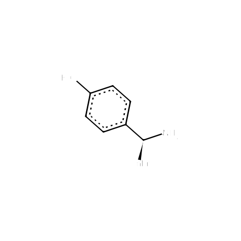 CCC[C@H](N)c1ccc(C(F)(F)F)cc1